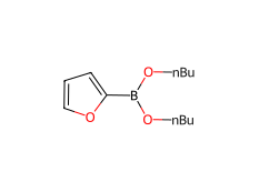 CCCCOB(OCCCC)c1ccco1